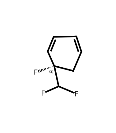 FC(F)[C@@]1(F)C=CC=CC1